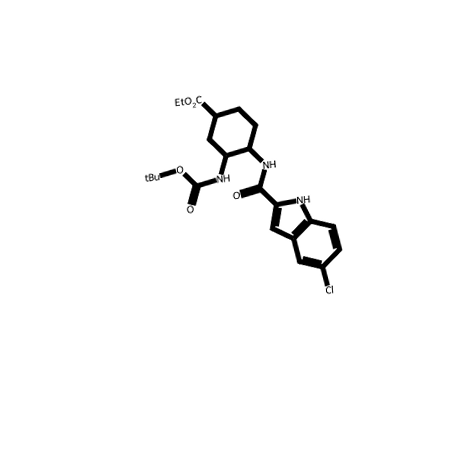 CCOC(=O)C1CCC(NC(=O)c2cc3cc(Cl)ccc3[nH]2)C(NC(=O)OC(C)(C)C)C1